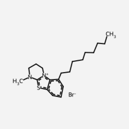 CCCCCCCCCc1cccc2sc3[n+](c12)CCCN3C.[Br-]